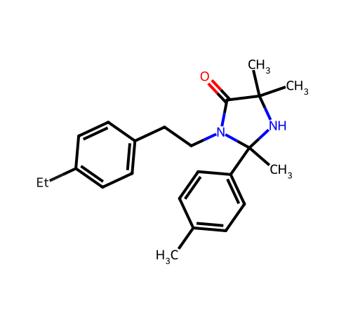 CCc1ccc(CCN2C(=O)C(C)(C)NC2(C)c2ccc(C)cc2)cc1